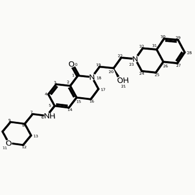 O=C1c2ccc(NCC3CCOCC3)cc2CCN1C[C@H](O)CN1CCC2C=CC=CC2C1